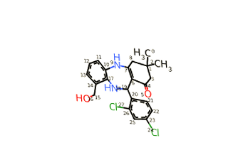 CC1(C)CC(=O)C2=C(C1)Nc1cccc(CO)c1NC2c1ccc(Cl)cc1Cl